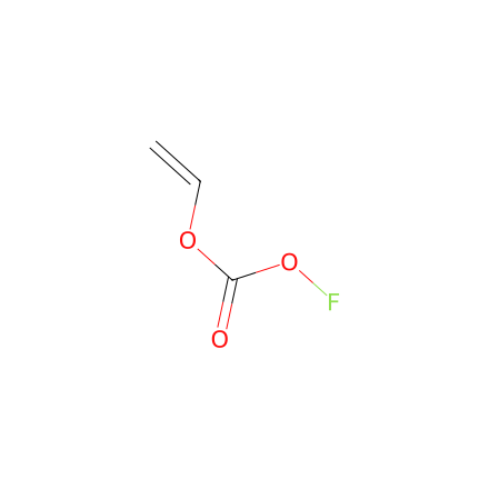 C=COC(=O)OF